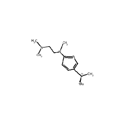 C[C@H](c1ccc(N(C)CCN(C)C)nc1)C(C)(C)C